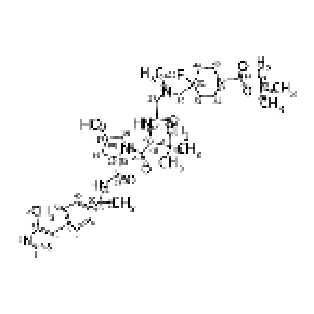 Cc1ncsc1-c1ccc([C@H](C)NC(=O)[C@@H]2C[C@@H](O)CN2C(=O)[C@@H](NC(=O)CN(C)CC2(F)CCN(C(=O)OC(C)(C)C)CC2)C(C)(C)C)cc1